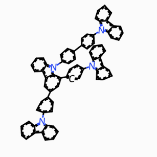 c1ccc2c(c1)c1ccccc1n2-c1ccc(-c2ccc(-n3c4ccccc4c4cc(-c5ccc(-n6c7ccccc7c7ccccc76)cc5)cc(-c5ccc(-n6c7ccccc7c7ccccc76)cc5)c43)cc2)cc1